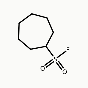 O=S(=O)(F)C1CCCCCC1